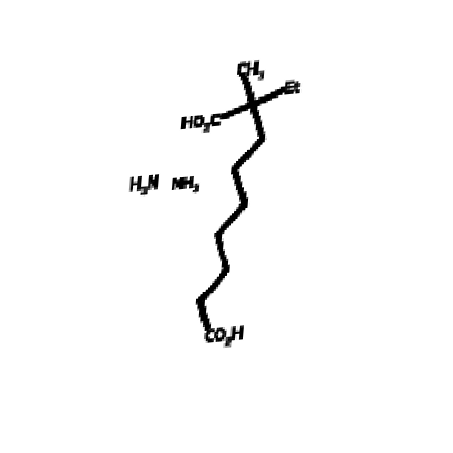 CCC(C)(CCCCCCC(=O)O)C(=O)O.N.N